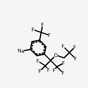 FC(F)(F)COC(c1c[c]([Na])cc(C(F)(F)F)c1)(C(F)(F)F)C(F)(F)F